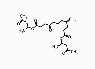 C=C(CCCC(=O)CCC(=O)OC(C)OC(C)=O)CCC(=O)OC(C)CC(C)=O